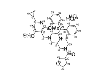 CCOc1nc(C2CC2)nc(OC)c1CN1CC2CN(C(=O)C3CCOC3)CCN2C(C(c2ccccc2)c2ccccc2)C1.Cl.Cl